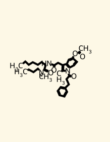 CCCCCCC(NC(=O)Cc1c(C)n(C(=O)CCc2ccccc2)c2ccc(OC(C)=O)cc12)C(=O)N(C)CCCC